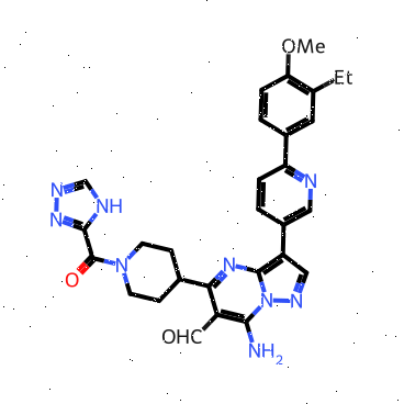 CCc1cc(-c2ccc(-c3cnn4c(N)c(C=O)c(C5CCN(C(=O)c6nnc[nH]6)CC5)nc34)cn2)ccc1OC